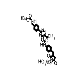 CC(OC(=O)Nc1ccc(CC2CC(=O)N(OC(=O)O)C2=O)cc1)c1nnc(-c2ccc(CNC(=O)OC(C)(C)C)cc2)nn1